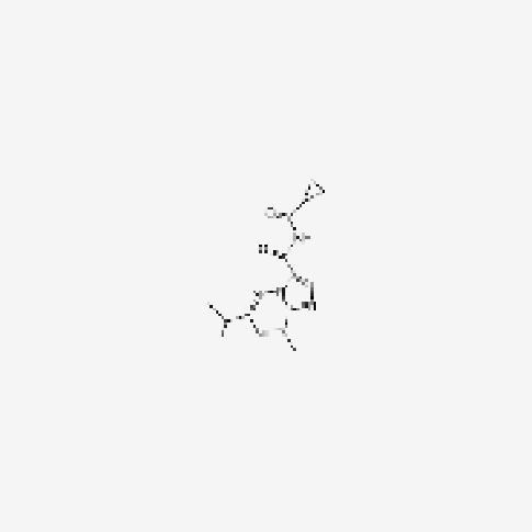 Cc1cc(C(C)C)nn2c(C(=O)NC(=O)C3CC3)cnc12